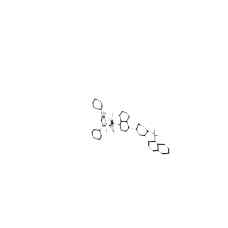 CC1(C)c2ccc(-c3ccc(-c4nc(-c5ccccc5)cc(-c5ccccc5)n4)c4ccccc34)cc2-c2ccc3ccccc3c21